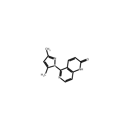 Cc1cc(C)n(-c2nccc3[nH]c(=O)ccc23)n1